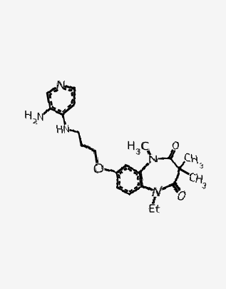 CCN1C(=O)C(C)(C)C(=O)N(C)c2cc(OCCCNc3ccncc3N)ccc21